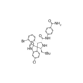 CC(C)(C)C[C@@H]1N[C@@H](C(=O)Nc2ccc(C(N)=O)cc2)[C@@H](c2cccc(Br)c2F)C12C(=O)Nc1cc(Cl)ccc12